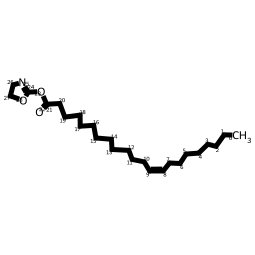 CCCCCCCC/C=C\CCCCCCCCCCCC(=O)OC1=NCCO1